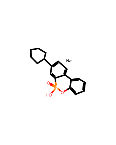 O=P1(O)Oc2ccccc2-c2ccc(C3CCCCC3)cc21.[Na]